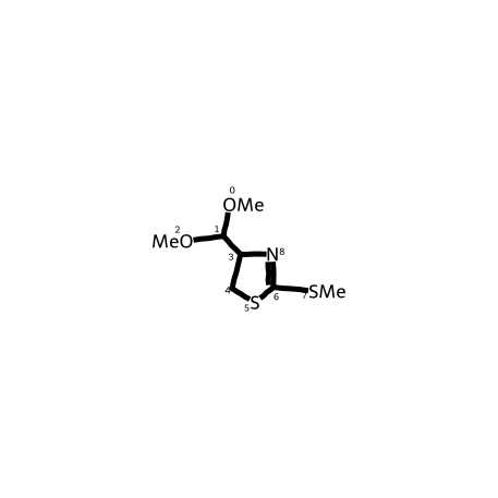 COC(OC)C1CSC(SC)=N1